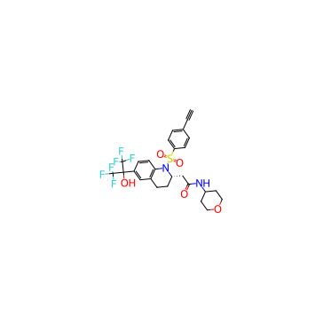 C#Cc1ccc(S(=O)(=O)N2c3ccc(C(O)(C(F)(F)F)C(F)(F)F)cc3CC[C@H]2CC(=O)NC2CCOCC2)cc1